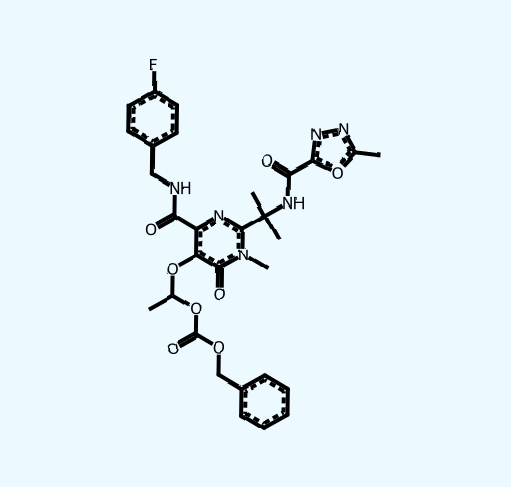 Cc1nnc(C(=O)NC(C)(C)c2nc(C(=O)NCc3ccc(F)cc3)c(OC(C)OC(=O)OCc3ccccc3)c(=O)n2C)o1